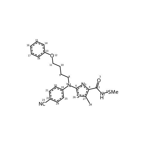 CSNC(=O)c1nc(N(CCCCOc2ccccc2)c2ccc(C#N)cc2)sc1C